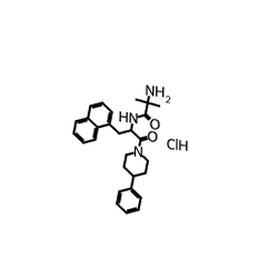 CC(C)(N)C(=O)NC(Cc1cccc2ccccc12)C(=O)N1CCC(c2ccccc2)CC1.Cl